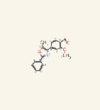 COc1cc(-c2nc(-c3ccccc3)oc2C)ccc1C=O